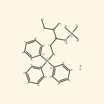 CCC(C)C(CC[P+](c1ccccc1)(c1ccccc1)c1ccccc1)O[Si](C)(C)C.[I-]